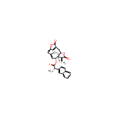 C=C1C(=O)OC2CC3=C[C@@H](C/C(C)=C/[C@@H](OC(=O)[C@H](C)c4ccc5ccccc5c4)[C@H]12)OC3=O